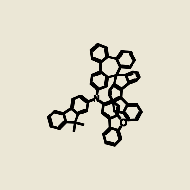 CC1(C)c2ccccc2-c2ccc(N(c3ccc4c(c3)C3(c5ccccc5-c5ccccc5-4)c4ccccc4-c4c3ccc3c4-c4ccccc4C3)c3ccc4oc5ccccc5c4c3)cc21